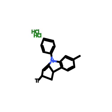 Cc1ccc2c(c1)N(c1ccccc1)C1=C[CH]([Ti])CC12.Cl.Cl